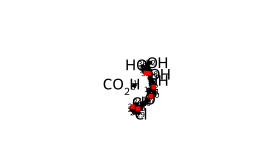 CC(=O)O.OCc1cc([C@@H](O)CNCCc2ccc(OCCCCc3c(Cl)cccc3Cl)cc2)ccc1O